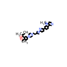 CCC(C)C(=O)c1cc(N2CCN(CCC3CN(c4ccc(-c5ccc6c7cnccc7n(C)c6c5)cn4)C3)CC2)ccc1C(C)=O